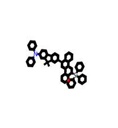 CC1(C)c2cc(-c3cc4c5ccccc5c([Si](c5ccccc5)(c5ccccc5)c5ccccc5)cc4c4ccccc34)ccc2-c2ccc(N(c3ccccc3)c3ccccc3)cc21